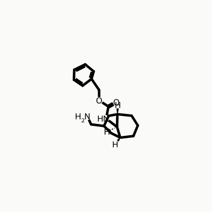 NCC1C[C@H]2CCC[C@@H](C1)[C@@H]2NC(=O)OCc1ccccc1